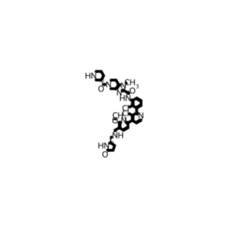 COc1nc(-c2ccnc(-c3cccc(NC(=O)c4nc5c(n4C)CCN(C(=O)[C@H]4CCCNC4)C5)c3Cl)c2Cl)ccc1CNC[C@H]1CCC(=O)N1